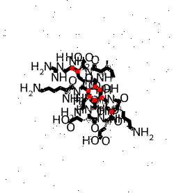 CC[C@H](C)[C@H](NC(=O)[C@H](CCCCN)NC(=O)[C@H](CC(N)=O)NC(=O)[C@H](CCCCN)NC(=O)[C@H](CCC(=O)O)NC(=O)[C@H](CCC(=O)O)NC(=O)[C@H](CC(=O)O)NC(=O)[C@H](CCCCN)NC(=O)[C@@H](N)CCCCN)C(=O)N[C@@H](CCCNC(=N)N)C(=O)O